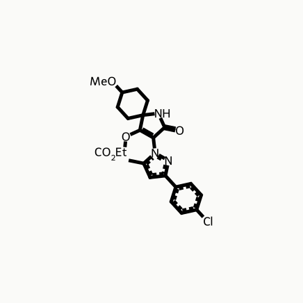 CCOC(=O)OC1=C(n2nc(-c3ccc(Cl)cc3)cc2C)C(=O)NC12CCC(OC)CC2